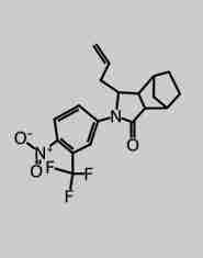 C=CCC1C2C3CCC(C3)C2C(=O)N1c1ccc([N+](=O)[O-])c(C(F)(F)F)c1